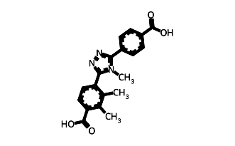 Cc1c(C(=O)O)ccc(-c2nnc(-c3ccc(C(=O)O)cc3)n2C)c1C